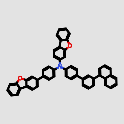 c1cc(-c2ccc(N(c3ccc(-c4ccc5c(c4)oc4ccccc45)cc3)c3ccc4c(c3)oc3ccccc34)cc2)cc(-c2cccc3ccccc23)c1